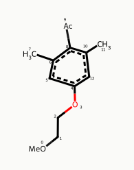 COCCOc1cc(C)c(C(C)=O)c(C)c1